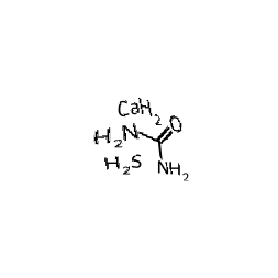 NC(N)=O.S.[CaH2]